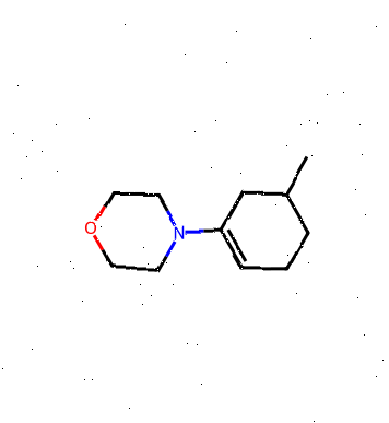 CC1CCC=C(N2CCOCC2)C1